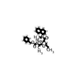 CCCC[C@H](NC(=O)[C@H](C)NC(=O)OCc1ccccc1)C(=O)N(N)c1cccc2ccccc12